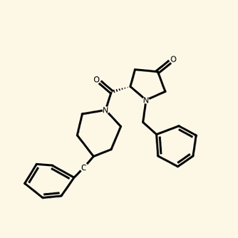 O=C1C[C@@H](C(=O)N2CCC(Cc3ccccc3)CC2)N(Cc2ccccc2)C1